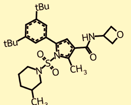 Cc1c(C(=O)NC2COC2)cc(-c2cc(C(C)(C)C)cc(C(C)(C)C)c2)n1S(=O)(=O)N1CCCC(C)C1